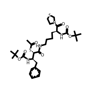 CC(=O)S[C@H](C(=O)NCCCC[C@H](NC(=O)OC(C)(C)C)C(=O)N1CCSC1)[C@@H](Cc1ccccc1)NC(=O)OC(C)(C)C